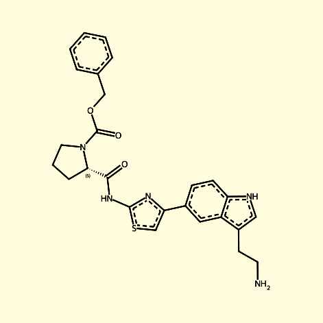 NCCc1c[nH]c2ccc(-c3csc(NC(=O)[C@@H]4CCCN4C(=O)OCc4ccccc4)n3)cc12